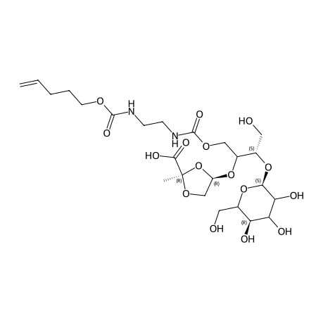 C=CCCCOC(=O)NCCNC(=O)OCC(O[C@H]1CO[C@@](C)(C(=O)O)O1)[C@H](CO)O[C@@H]1OC(CO)[C@H](O)C(O)C1O